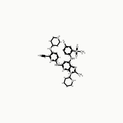 Cc1nc2c(Nc3ccc(F)cc3S(C)(=O)=O)cc(Nc3ccc(OC4CCOCC4)c(C#N)n3)nc2n1C1CCCCO1